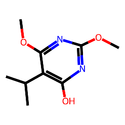 COc1nc(O)c(C(C)C)c(OC)n1